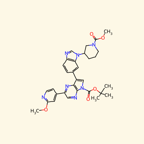 COC(=O)N1CCCC(n2cnc3ccc(-c4cn(C(=O)OC(C)(C)C)c5ncc(-c6ccnc(OC)c6)nc45)cc32)C1